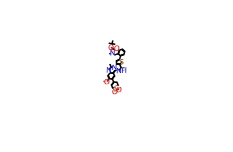 COc1cc2nc(C)nc(N[C@H](C)c3ccc(-c4ccccc4CN(C)C(=O)OC(C)(C)C)s3)c2cc1C1=CCS(=O)(=O)CC1